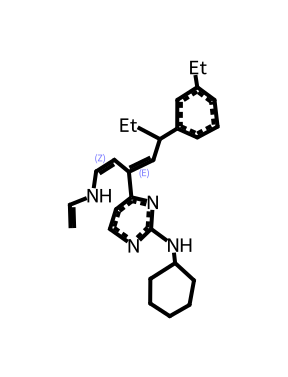 C=CN/C=C\C(=C/C(CC)c1cccc(CC)c1)c1ccnc(NC2CCCCC2)n1